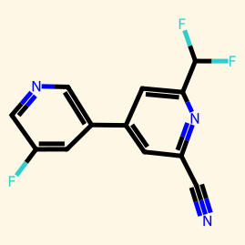 N#Cc1cc(-c2cncc(F)c2)cc(C(F)F)n1